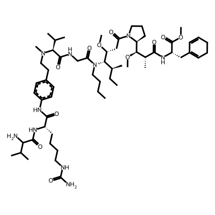 CCCCN(C(=O)CNC(=O)[C@H](C(C)C)N(C)CCc1ccc(NC(=O)[C@H](CCCCNC(N)=O)NC(=O)C(N)C(C)C)cc1)[C@@H]([C@@H](C)CC)[C@@H](CC(=O)N1CCC[C@H]1[C@H](OC)[C@@H](C)C(=O)N[C@@H](CC1=CCCC=C1)C(=O)OC)OC